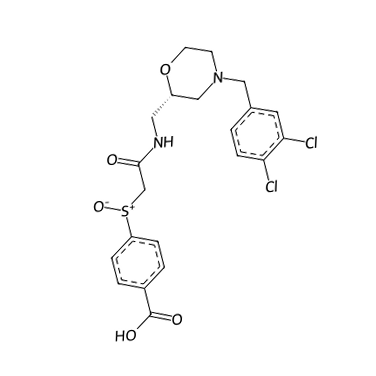 O=C(C[S+]([O-])c1ccc(C(=O)O)cc1)NC[C@H]1CN(Cc2ccc(Cl)c(Cl)c2)CCO1